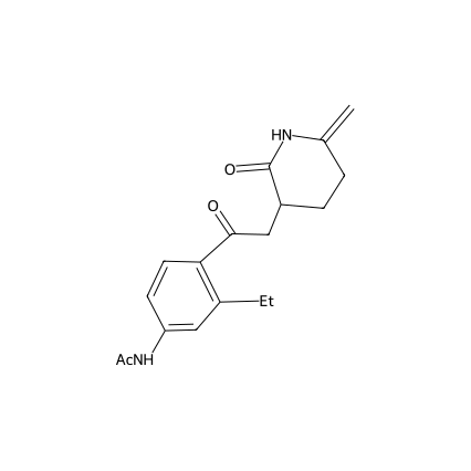 C=C1CCC(CC(=O)c2ccc(NC(C)=O)cc2CC)C(=O)N1